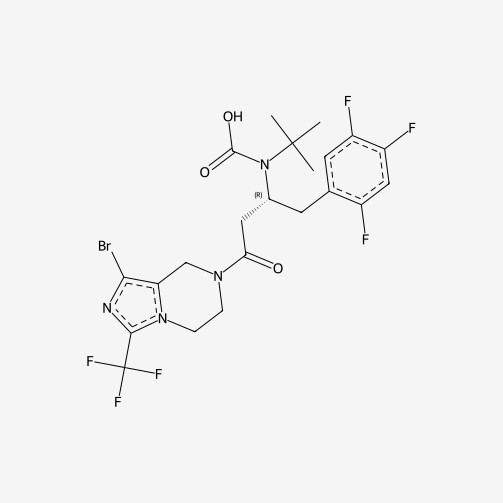 CC(C)(C)N(C(=O)O)[C@@H](CC(=O)N1CCn2c(C(F)(F)F)nc(Br)c2C1)Cc1cc(F)c(F)cc1F